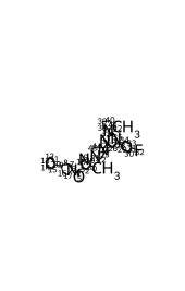 Cc1cc(C(=O)N2CCC(c3ccccc3)CC2)cnc1N1CCN(c2cc(-c3ccc(F)cc3)nc(N3CCCC3C)n2)CC1